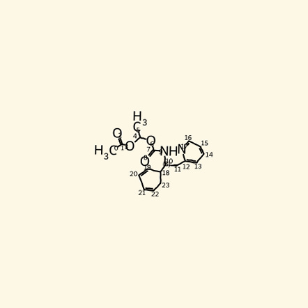 CC(=O)OC(C)OC(=O)N[C@@H](Cc1ccccn1)C1C=CC=CC1